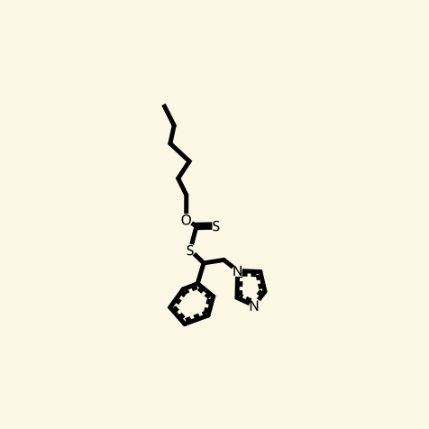 CCCCCCOC(=S)SC(Cn1ccnc1)c1ccccc1